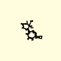 FC1(F)CCCN1c1cccc(Cl)n1